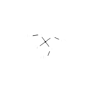 CCCCO[C]([Sn])(OCCCC)OCCCC